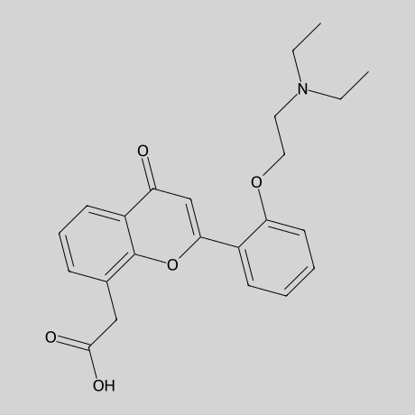 CCN(CC)CCOc1ccccc1-c1cc(=O)c2cccc(CC(=O)O)c2o1